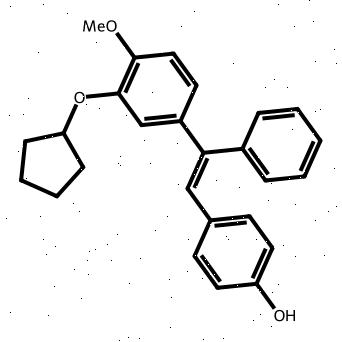 COc1ccc(C(=Cc2ccc(O)cc2)c2ccccc2)cc1OC1CCCC1